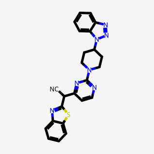 N#CC(c1ccnc(N2CCC(n3nnc4ccccc43)CC2)n1)c1nc2ccccc2s1